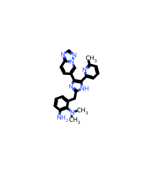 Cc1cccc(-c2[nH]c(Cc3cccc(N)c3N(C)C)nc2-c2ccc3ncnn3c2)n1